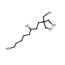 OCCCCCC(O)CCC(CO)(CO)CO